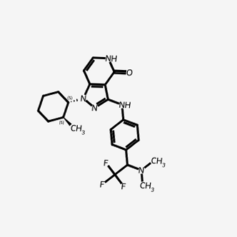 C[C@H]1CCCC[C@@H]1n1nc(Nc2ccc(C(N(C)C)C(F)(F)F)cc2)c2c(=O)[nH]ccc21